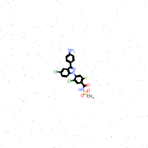 CS(=O)(=O)NC(=O)c1cc(Cl)c(-n2nc(-c3ccc(N)cc3)c3cc(Cl)ccc32)cc1F